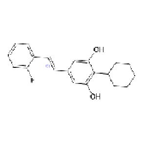 Oc1cc(/C=C/c2ccccc2F)cc(O)c1C1CCCCC1